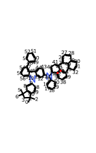 CC1(C)CC(C)(C)c2cc(-n3c4cc(N(c5ccccc5)c5ccc(-c6cccc7cccc(-c8ccccc8)c67)cc5)ccc4c4c(-c5ccccc5)cccc43)ccc21